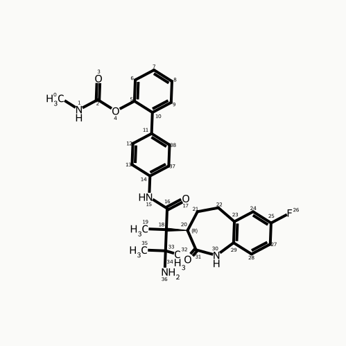 CNC(=O)Oc1ccccc1-c1ccc(NC(=O)C(C)([C@H]2CCc3cc(F)ccc3NC2=O)C(C)(C)N)cc1